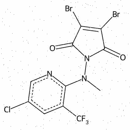 CN(c1ncc(Cl)cc1C(F)(F)F)N1C(=O)C(Br)=C(Br)C1=O